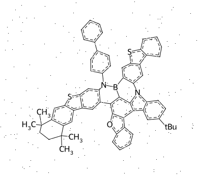 CC(C)(C)c1ccc2c(c1)c1c3c(oc4ccccc43)c3c4c1n2-c1cc2c(cc1B4N(c1ccc(-c4ccccc4)cc1)c1cc4sc5cc6c(cc5c4cc1-3)C(C)(C)CCC6(C)C)sc1ccccc12